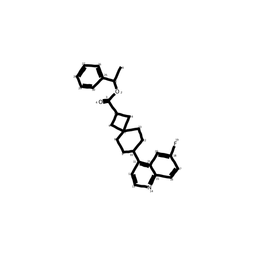 CC(OC(=O)C1CC2(CCC(c3ccnc4ccc(F)cc34)CC2)C1)c1ccccc1